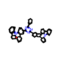 c1ccc(-c2nc(-c3ccc(-n4c5ccccc5c5ccccc54)c(-c4ccccc4)c3)nc(-c3ccc4cc(-c5ccccc5-n5c6ccccc6c6ccccc65)ccc4c3)n2)cc1